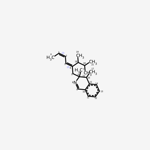 C/C=C\C=C(\CC1(C)N=Cc2ccccc2C1C)C(C)C(C)C